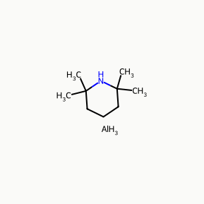 CC1(C)CCCC(C)(C)N1.[AlH3]